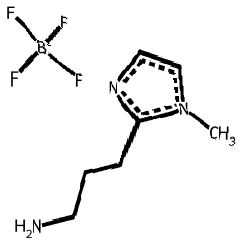 Cn1ccnc1CCCN.F[B-](F)(F)F